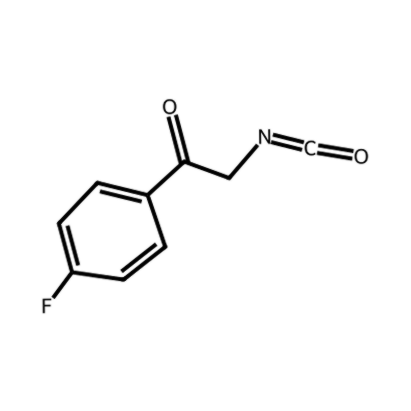 O=C=NCC(=O)c1ccc(F)cc1